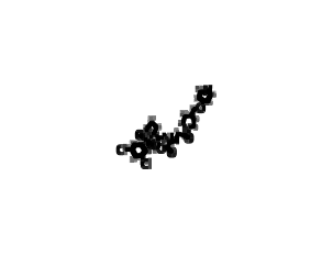 O=C(O)C(CCC(=O)N1CCC(COc2ccncc2)CC1)NC(=O)[C@@H]1CCCN1S(=O)(=O)c1cc(Cl)cc(Cl)c1